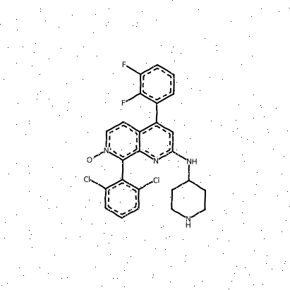 [O-][n+]1ccc2c(-c3cccc(F)c3F)cc(NC3CCNCC3)nc2c1-c1c(Cl)cccc1Cl